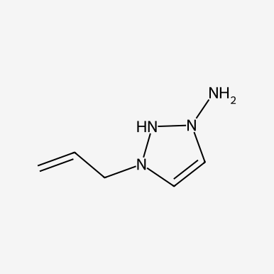 C=CCN1C=CN(N)N1